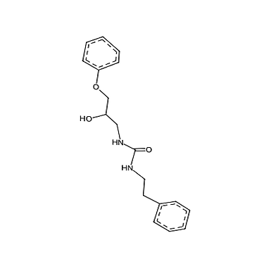 O=C(NCCc1ccccc1)NCC(O)COc1ccccc1